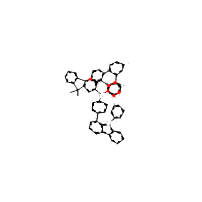 CC1(C)c2ccccc2-c2ccc(N(c3ccc(-c4cccc5c6ccccc6n(-c6ccccc6)c45)cc3)c3ccccc3-c3ccccc3-c3ccccc3-c3ccccc3)cc21